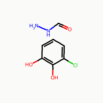 NNC=O.Oc1cccc(Cl)c1O